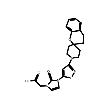 O=C(O)Cn1ccn(-c2cc(N3CCC4(CCc5ccccc5O4)CC3)no2)c1=O